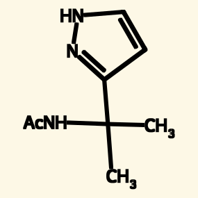 CC(=O)NC(C)(C)c1cc[nH]n1